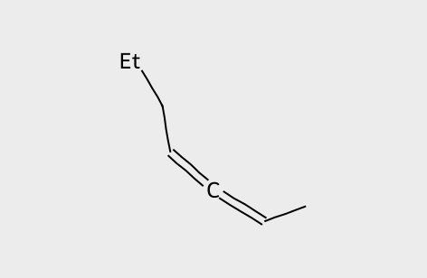 CC=C=CCCC